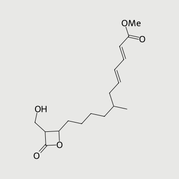 COC(=O)/C=C/C=C/CC(C)CCCCC1OC(=O)C1CO